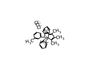 CC1=C(C)C(C)([Si](c2ccccc2)(c2ccccc2)c2cccc(C)c2)[C]([Ti+3])=C1C.[Cl-].[Cl-].[Cl-]